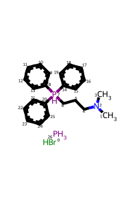 Br.CN(C)CCC[PH](c1ccccc1)(c1ccccc1)c1ccccc1.P